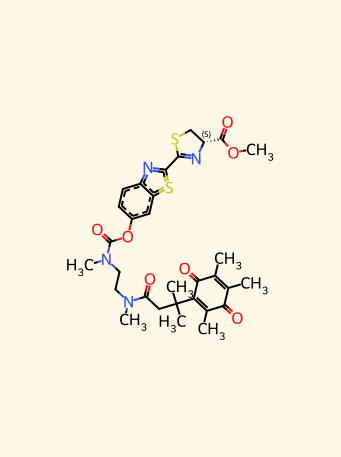 COC(=O)[C@H]1CSC(c2nc3ccc(OC(=O)N(C)CCN(C)C(=O)CC(C)(C)C4=C(C)C(=O)C(C)=C(C)C4=O)cc3s2)=N1